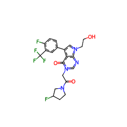 O=C(Cn1cnc2c(c(-c3ccc(F)c(C(F)(F)F)c3)cn2CCO)c1=O)N1CCC(F)C1